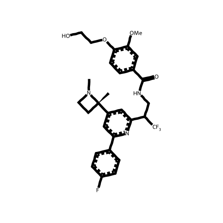 COc1cc(C(=O)NCC(c2cc([C@]3(C)CCN3C)cc(-c3ccc(F)cc3)n2)C(F)(F)F)ccc1OCCO